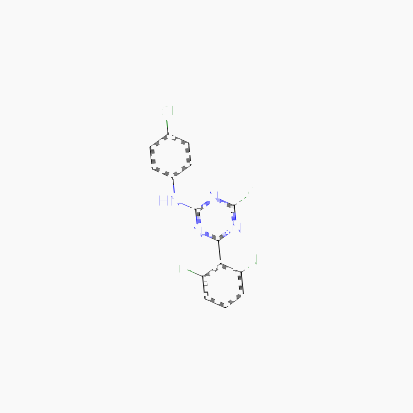 Fc1cccc(F)c1-c1nc(Cl)nc(Nc2ccc(Cl)cc2)n1